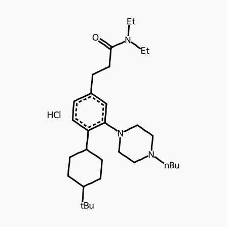 CCCCN1CCN(c2cc(CCC(=O)N(CC)CC)ccc2C2CCC(C(C)(C)C)CC2)CC1.Cl